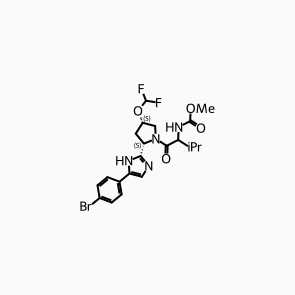 COC(=O)NC(C(=O)N1C[C@@H](OC(F)F)C[C@H]1c1ncc(-c2ccc(Br)cc2)[nH]1)C(C)C